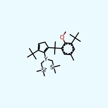 COc1c(C(C)(C)C)cc(C)cc1C(C)(C)C1=[C]([Y]([CH2][Si](C)(C)C)[CH2][Si](C)(C)C)C(C(C)(C)C)=CC1